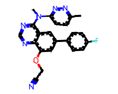 Cc1ccc(N(C)c2ncnc3c(OCC#N)cc(-c4ccc(F)cc4)cc23)nn1